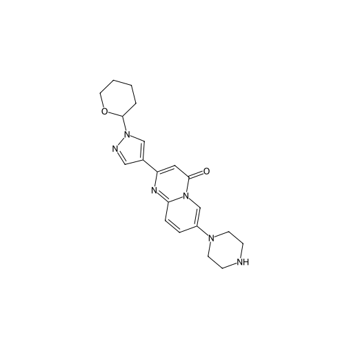 O=c1cc(-c2cnn(C3CCCCO3)c2)nc2ccc(N3CCNCC3)cn12